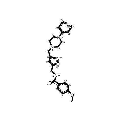 COc1ccc(C(=O)NCc2cc(CN3CCN(c4ccccc4)CC3)no2)cc1